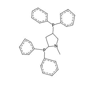 CN1CC(P(c2ccccc2)c2ccccc2)CC1P(c1ccccc1)c1ccccc1